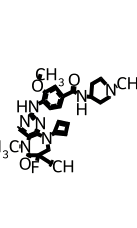 C#CC1(F)CN(C2=CC=C2)c2nc(Nc3ccc(C(=O)NC4CCN(C)CC4)cc3OC)ncc2N(C)C1=O